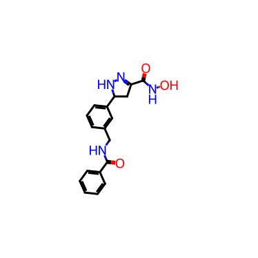 O=C(NO)C1=NNC(c2cccc(CNC(=O)c3ccccc3)c2)C1